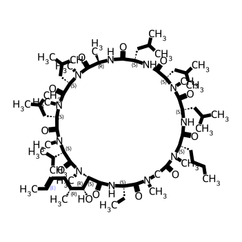 C/C=C/C[C@@H](C)[C@@H](O)[C@H]1C(=O)N[C@@H](CC)C(=O)N(C)CC(=O)N(C)[C@@H](CCCC)C(=O)N[C@@H](CC(C)C)C(=O)N(C)[C@@H](CC(C)C)C(=O)N[C@@H](CC(C)C)C(=O)N[C@H](C)C(=O)N(C)[C@@H](CC(C)C)C(=O)N(C)[C@@H](CC(C)C)C(=O)N(C)[C@@H](C(C)C)C(=O)N1C